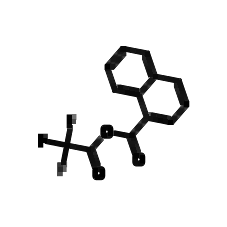 O=C(OC(=O)C(F)(F)F)c1cccc2ccccc12